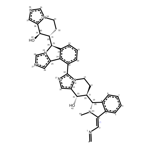 C=N/C=C1/c2ccccc2[C@@H]([C@@H]2CCn3c(cnc3-c3cccc4c3-c3cncn3[C@H]4[C@H]3CCn4cncc4[C@@H]3O)[C@H]2O)N1C